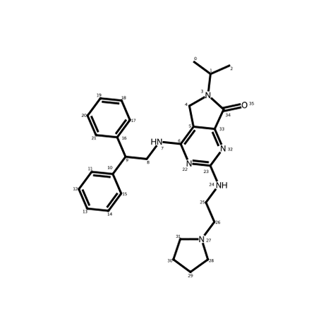 CC(C)N1Cc2c(NCC(c3ccccc3)c3ccccc3)nc(NCCN3CCCC3)nc2C1=O